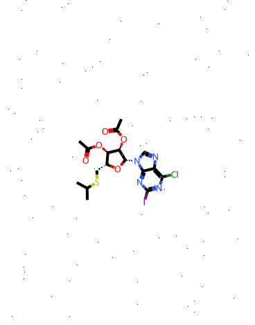 CC(=O)O[C@@H]1[C@H](OC(C)=O)[C@@H](CSC(C)C)O[C@H]1n1cnc2c(Cl)nc(I)nc21